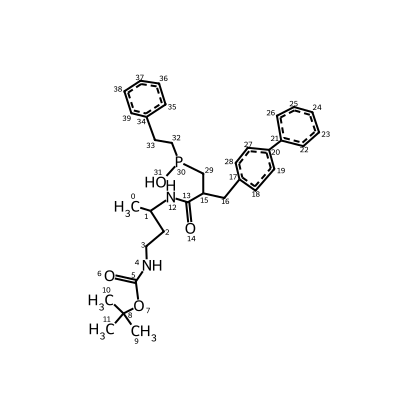 CC(CCNC(=O)OC(C)(C)C)NC(=O)C(Cc1ccc(-c2ccccc2)cc1)CP(O)CCc1ccccc1